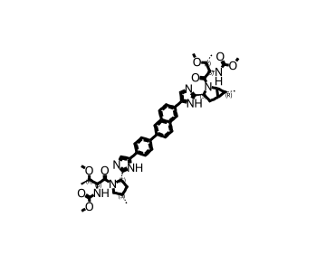 COC(=O)N[C@H](C(=O)N1C[C@@H](C)C[C@H]1c1ncc(-c2ccc(-c3ccc4cc(-c5cnc([C@@H]6CC7C([C@@H]7C)N6C(=O)[C@@H](NC(=O)OC)[C@@H](C)OC)[nH]5)ccc4c3)cc2)[nH]1)[C@@H](C)OC